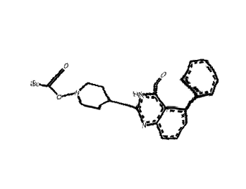 CC(C)(C)C(=O)ON1CCC(c2nc3cccc(-c4ccccc4)c3c(=O)[nH]2)CC1